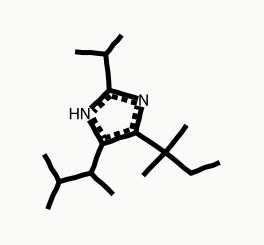 CCC(C)(C)c1nc(C(C)C)[nH]c1C(C)C(C)C